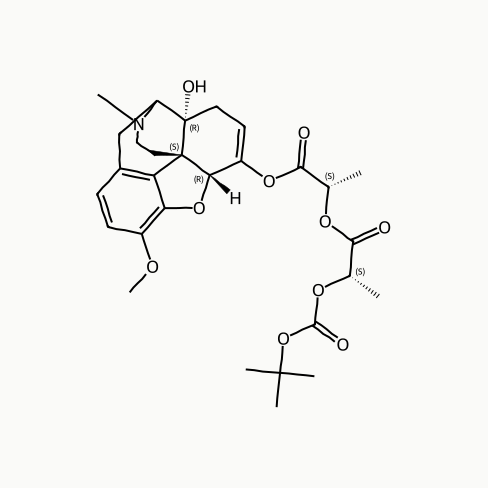 COc1ccc2c3c1O[C@H]1C(OC(=O)[C@H](C)OC(=O)[C@H](C)OC(=O)OC(C)(C)C)=CC[C@]4(O)C(C2)N(C)CC[C@]314